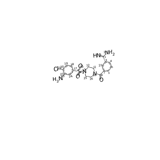 N=C(N)c1cccc(C(=O)N2CCN(S(=O)(=O)c3ccc(Cl)c(N)c3)CC2)c1